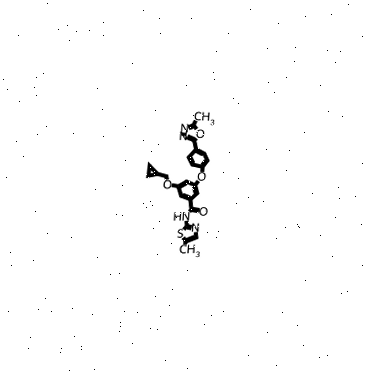 Cc1nnc(-c2ccc(Oc3cc(OCC4CC4)cc(C(=O)Nc4ncc(C)s4)c3)cc2)o1